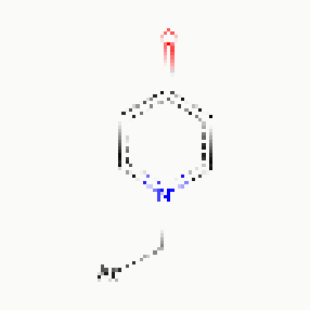 CC(=O)Cn1ccc(=O)cc1